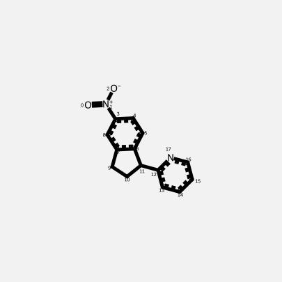 O=[N+]([O-])c1ccc2c(c1)CCC2c1ccccn1